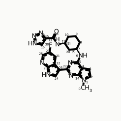 Cn1ccc2c(N[C@@H]3CCC[C@H](NC(=O)c4c[nH]nn4)C3)nc(-c3c[nH]c4ncc(F)cc34)nc21